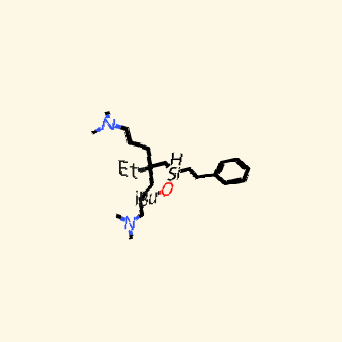 CCC(C)O[SiH](CCc1ccccc1)CC(CC)(CCCN(C)C)CCCN(C)C